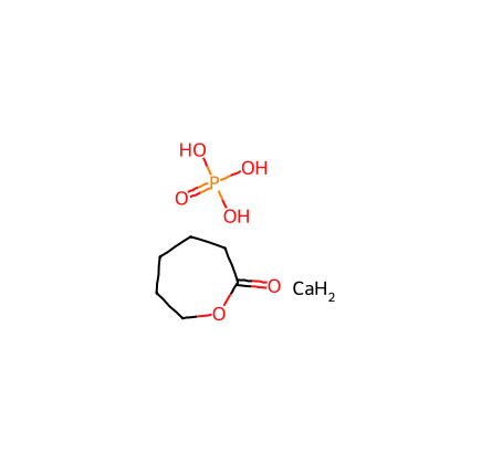 O=C1CCCCCO1.O=P(O)(O)O.[CaH2]